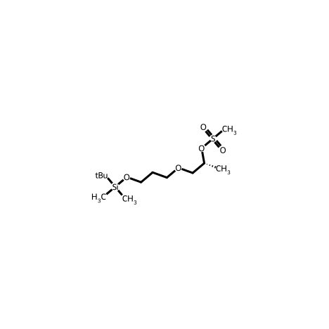 C[C@H](COCCCO[Si](C)(C)C(C)(C)C)OS(C)(=O)=O